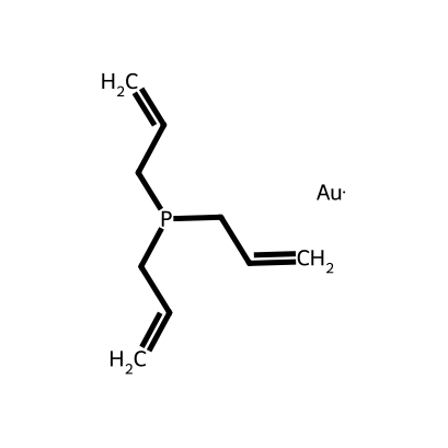 C=CCP(CC=C)CC=C.[Au]